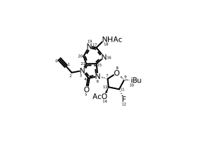 C#CCn1c(=O)n([C@@H]2O[C@H]([C@@H](C)CC)[C@H](F)[C@H]2OC(C)=O)c2nc(NC(C)=O)ncc21